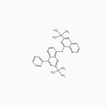 CC(C)(C)c1nc(Cc2ccnc3c(-c4ccccc4)nc(C(C)(C)C)nc23)c2ncccc2n1